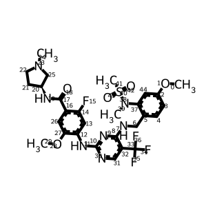 COc1ccc(CNc2nc(Nc3cc(F)c(C(=O)N[C@H]4CCN(C)C4)cc3OC)ncc2C(F)(F)F)c(N(C)S(C)(=O)=O)c1